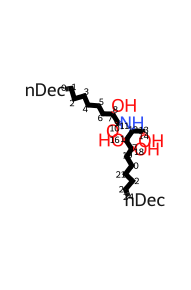 CCCCCCCCCCCCCCCCC(O)C(=O)NC(CO)C(O)C(O)CCCCCCCCCCCCCCC